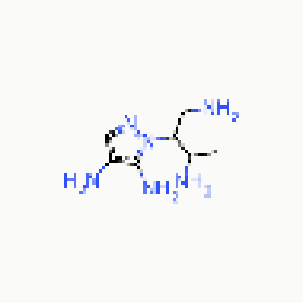 CC(N)C(CN)n1ncc(N)c1N